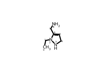 CCN1NCC=C1CN